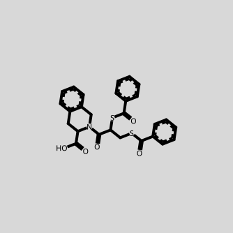 O=C(SCC(SC(=O)c1ccccc1)C(=O)N1Cc2ccccc2CC1C(=O)O)c1ccccc1